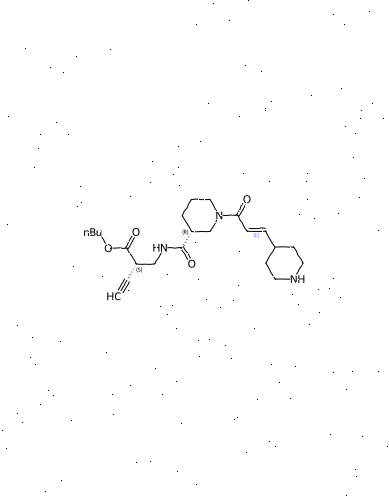 C#C[C@@H](CNC(=O)[C@@H]1CCCN(C(=O)/C=C/C2CCNCC2)C1)C(=O)OCCCC